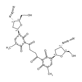 Cc1cn([C@H]2C[C@H](N=[N+]=[N-])[C@@H](CO)O2)c(=O)n(C(=O)CCC(=O)n2c(=O)c(C)cn([C@H]3C[C@H](N=[N+]=[N-])[C@@H](CO)O3)c2=O)c1=O